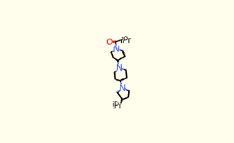 CC(C)C(=O)N1CCC(N2CCC(N3CCC(C(C)C)C3)CC2)CC1